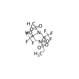 CCS(=O)(=O)N1C[C@](O)(C(F)(F)F)N(S(C)(=O)=O)C[C@]1(O)C(F)(F)F